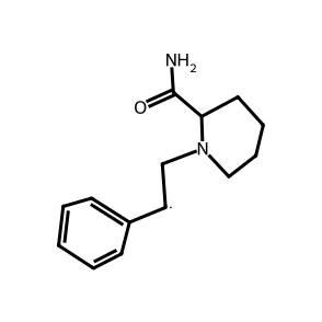 NC(=O)C1CCCCN1C[CH]c1ccccc1